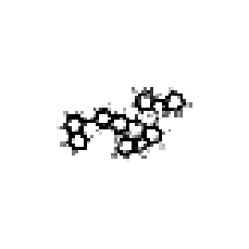 c1ccc2c(-c3ccc4cc(N(c5ccnc6c5oc5ccccc56)c5cccc6oc7ccncc7c56)ccc4c3)cccc2c1